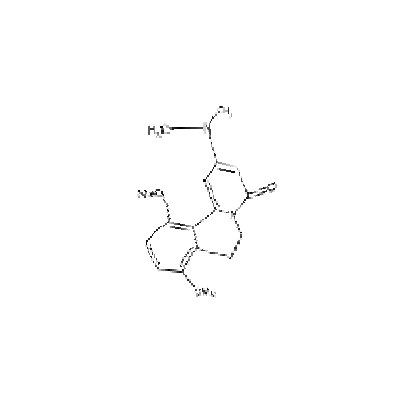 COc1ccc(OC)c2c1CCn1c-2cc(N(C)C)cc1=O